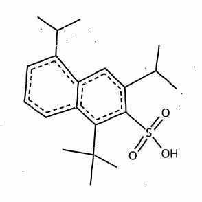 CC(C)c1cc2c(C(C)C)cccc2c(C(C)(C)C)c1S(=O)(=O)O